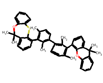 Cc1ccc(-c2ccc(C)c(-c3cccc4c3Sc3ccccc3OC4(C)C)c2C)c(C)c1-c1cccc2c1Oc1ccccc1C2(C)C